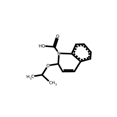 CC(C)OC1C=Cc2ccccc2N1C(=O)O